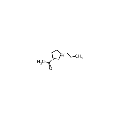 CCC[C@H]1CCN(C(C)=O)C1